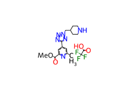 COC(=O)c1cc(-c2nnn(CC3CCNCC3)n2)cc(C)n1.O=C(O)C(F)(F)F